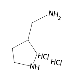 Cl.Cl.NCC1CCNC1